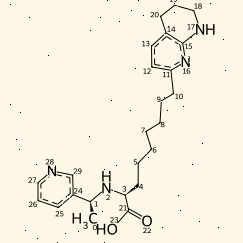 C[C@H](N[C@@H](CCCCCCCc1ccc2c(n1)NCCC2)C(=O)O)c1cccnc1